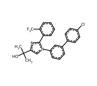 CC(C)(O)c1cn(-c2cccc(-c3ccc(Cl)cc3)c2)c(-c2ccccc2C(F)(F)F)n1